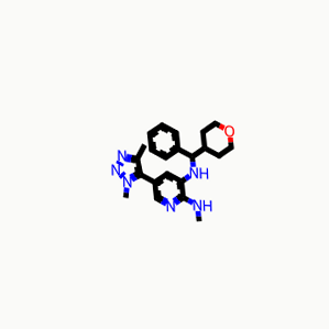 CNc1ncc(-c2c(C)nnn2C)cc1NC(c1ccccc1)C1CCOCC1